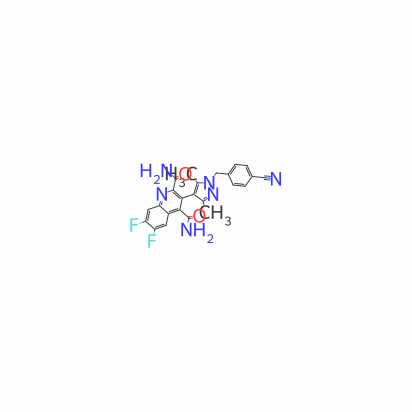 Cc1nn(Cc2ccc(C#N)cc2)c(C)c1-c1c(C(N)=O)nc2cc(F)c(F)cc2c1C(N)=O